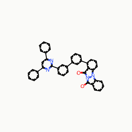 O=c1c2ccccc2n2c3cccc(-c4cccc(-c5cccc(-c6nc(-c7ccccc7)cc(-c7ccccc7)n6)c5)c4)c3c(=O)n12